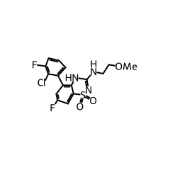 COCCNC1=NS(=O)(=O)c2cc(F)cc(-c3cccc(F)c3Cl)c2N1